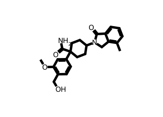 COc1cc(C2(C(N)=O)CCC(N3Cc4c(C)cccc4C3=O)CC2)ccc1CO